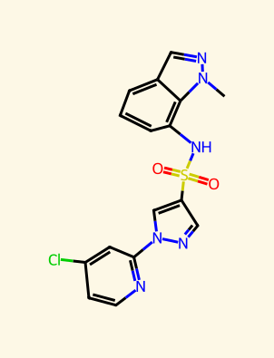 Cn1ncc2cccc(NS(=O)(=O)c3cnn(-c4cc(Cl)ccn4)c3)c21